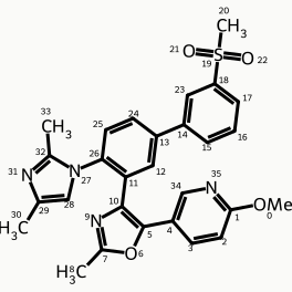 COc1ccc(-c2oc(C)nc2-c2cc(-c3cccc(S(C)(=O)=O)c3)ccc2-n2cc(C)nc2C)cn1